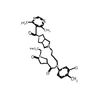 Cc1ccc(N(CCCN2CC3CN(C(=O)c4c(C)ncnc4C)CC3C2)C(=O)C2CC(=O)N(CC(=O)O)C2)cc1Cl